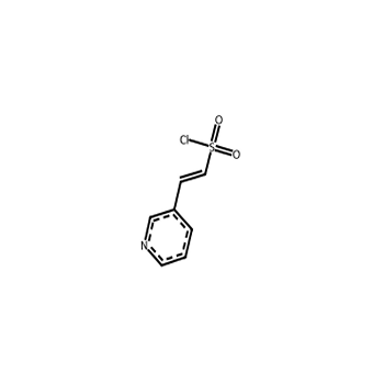 O=S(=O)(Cl)/C=C/c1cccnc1